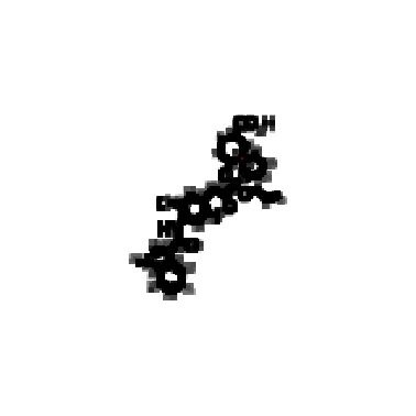 C=CCOC(OC1CCC(C(=O)O)CC1)(C(=O)Cc1cc(Cl)c(NC(=O)c2cn(C)c3ccccc23)cc1F)N1CCCC1